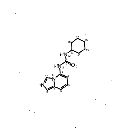 O=C(Nc1cccc2cncn12)NC1CCCCC1